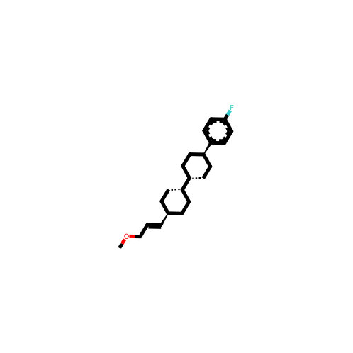 COCC=C[C@H]1CC[C@H]([C@H]2CC[C@H](c3ccc(F)cc3)CC2)CC1